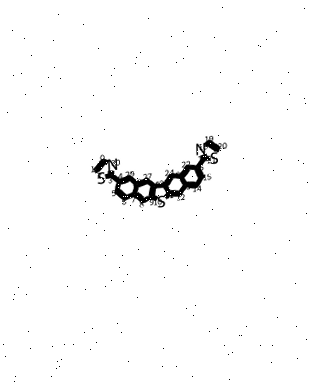 c1csc(-c2ccc3cc4sc5cc6ccc(-c7nccs7)cc6cc5c4cc3c2)n1